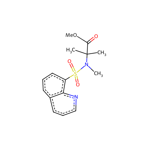 COC(=O)C(C)(C)N(C)S(=O)(=O)c1cccc2cccnc12